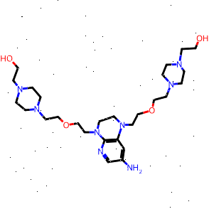 Nc1cnc2c(c1)N(CCOCCN1CCN(CCO)CC1)CCN2CCOCCN1CCN(CCO)CC1